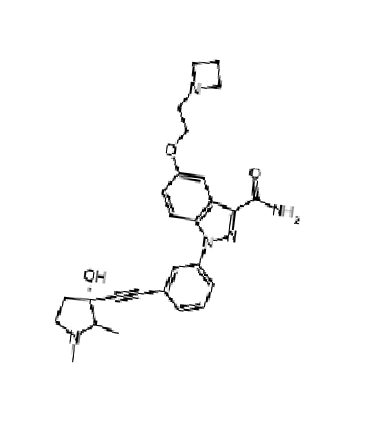 CC1N(C)CC[C@@]1(O)C#Cc1cccc(-n2nc(C(N)=O)c3cc(OCCN4CCC4)ccc32)c1